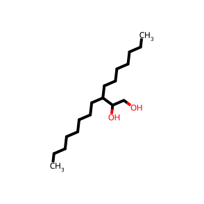 CCCCCCCCC(CCCCCCC)C(O)CO